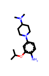 CC(C)Oc1cc(N2CCC(N(C)C)CC2)ccc1N